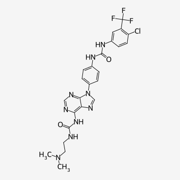 CN(C)CCNC(=O)Nc1ncnc2c1ncn2-c1ccc(NC(=O)Nc2ccc(Cl)c(C(F)(F)F)c2)cc1